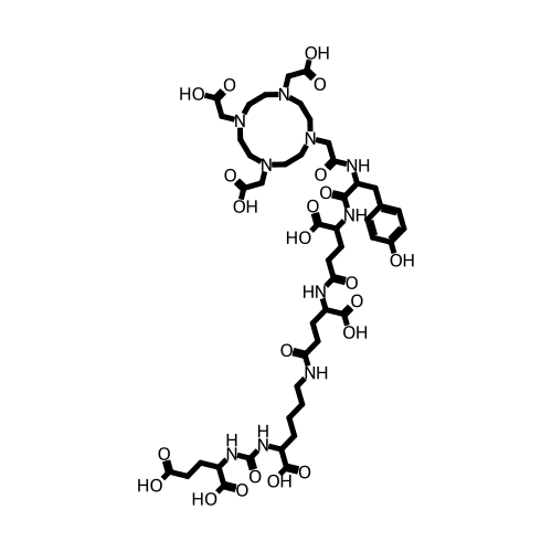 O=C(O)CCC(NC(=O)NC(CCCCNC(=O)CCC(NC(=O)CCC(NC(=O)C(Cc1ccc(O)cc1)NC(=O)CN1CCN(CC(=O)O)CCN(CC(=O)O)CCN(CC(=O)O)CC1)C(=O)O)C(=O)O)C(=O)O)C(=O)O